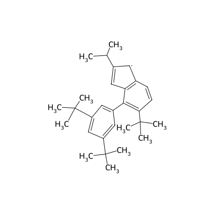 CC(C)C1=Cc2c(ccc(C(C)(C)C)c2-c2cc(C(C)(C)C)cc(C(C)(C)C)c2)[CH]1